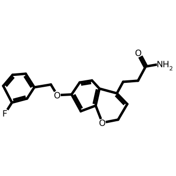 NC(=O)CCC1=CCOc2cc(OCc3cccc(F)c3)ccc21